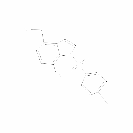 COc1ccc(CC#N)c2ccn(S(=O)(=O)c3ccc(C)cc3)c12